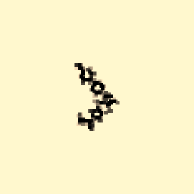 Cc1nc(-c2ccc(-c3ccc(Cl)cc3)cc2)n(CC2CCN(C(=O)C3CC3)C2)c1C